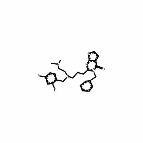 CN(C)CCN(CCCc1nc2sccc2c(=O)n1Cc1ccccc1)Cc1ccc(F)cc1F